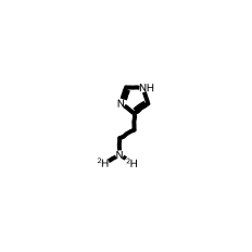 [2H]N([2H])CCc1c[nH]cn1